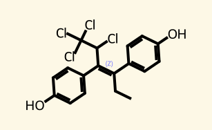 CC/C(=C(\c1ccc(O)cc1)C(Cl)C(Cl)(Cl)Cl)c1ccc(O)cc1